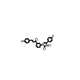 O=C(C=Cc1ccc(F)cc1)c1cccc(-n2cc(-c3ccc(F)cc3)[nH]c2=O)c1